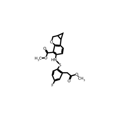 COC(=O)Cc1cc(F)ccc1SNc1ccc2c(c1C(=O)OC)OCC1CC21